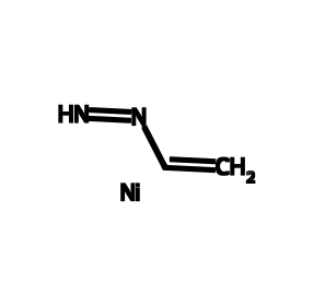 C=CN=N.[Ni]